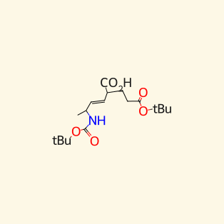 CC(C=CC(CCC(=O)OC(C)(C)C)C(=O)O)NC(=O)OC(C)(C)C